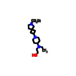 CCOC(=O)N1CCC2(CC(N3CCC(N(CCO)CC(F)(F)F)CC3)C2)C1